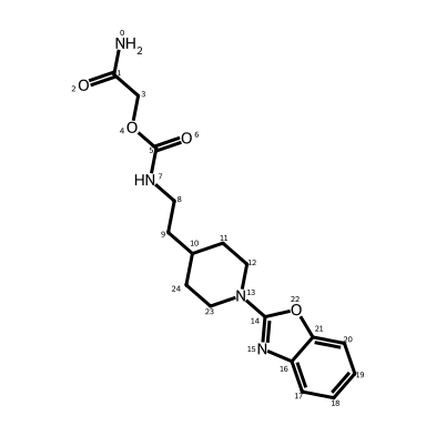 NC(=O)COC(=O)NCCC1CCN(c2nc3ccccc3o2)CC1